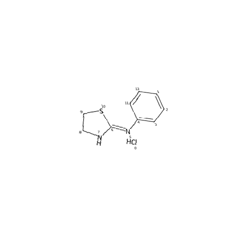 Cl.c1ccc(N=C2NCCS2)cc1